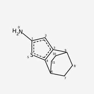 Nc1cc2c(s1)C1CCC2CC1